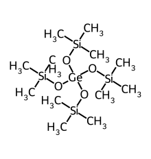 C[Si](C)(C)[O][Ge]([O][Si](C)(C)C)([O][Si](C)(C)C)[O][Si](C)(C)C